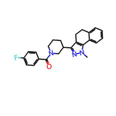 Cn1nc(C2CCCN(C(=O)c3ccc(F)cc3)C2)c2c1-c1ccccc1CC2